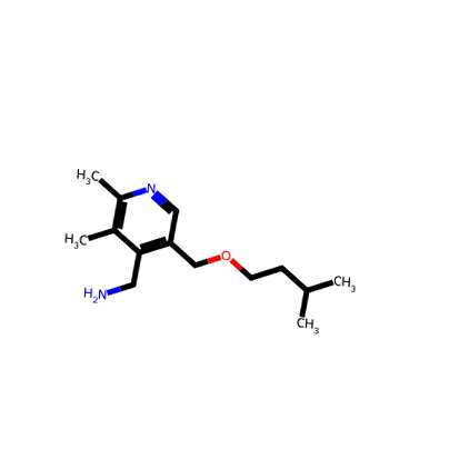 Cc1ncc(COCCC(C)C)c(CN)c1C